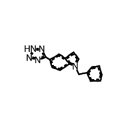 c1ccc(Cn2ccc3cc(-c4nn[nH]n4)ccc32)cc1